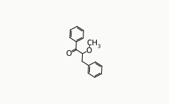 COC(Cc1ccccc1)C(=O)c1ccccc1